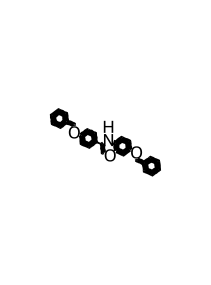 c1ccc(COc2ccc([C@@H]3COc4cc(OCc5ccccc5)ccc4N3)cc2)cc1